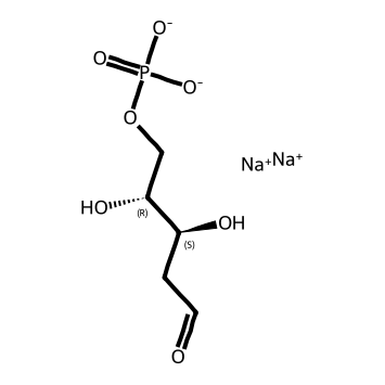 O=CC[C@H](O)[C@H](O)COP(=O)([O-])[O-].[Na+].[Na+]